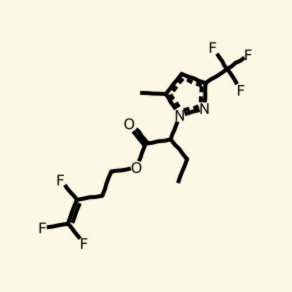 CCC(C(=O)OCCC(F)=C(F)F)n1nc(C(F)(F)F)cc1C